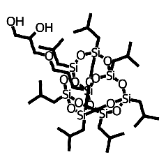 CC(C)C[Si]12O[Si]3(CCCOCC(O)CO)O[Si]4(CC(C)C)O[Si](CC(C)C)(O1)O[Si]1(CC(C)C)O[Si](CC(C)C)(O2)O[Si](CC(C)C)(O3)O[Si](CC(C)C)(O4)O1